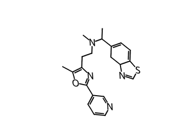 Cc1oc(-c2cccnc2)nc1CCN(C)C(C)C1=CC=C2SC=NC2C1